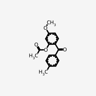 COc1ccc(C(=O)c2ccc(C)cc2)c(OC(C)=O)c1